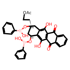 CC(=O)OCC[C@]1(OB(O)c2ccccc2)Cc2c(O)c3c(c(O)c2[C@@H](OB(O)c2ccccc2)C1)C(=O)c1ccccc1C3=O